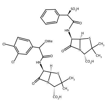 CC1(C)S[C@@H]2[C@H](NC(=O)[C@@H](c3ccccc3)S(=O)(=O)O)C(=O)N2[C@H]1C(=O)O.COC(C(=O)N[C@@H]1C(=O)N2[C@@H]1SC(C)(C)[C@@H]2C(=O)O)c1ccc(Cl)c(Cl)c1